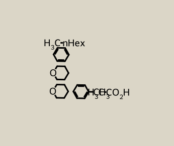 C1CCOCC1.C1CCOCC1.CC(=O)O.CCCCCCC.Cc1ccccc1.c1ccccc1